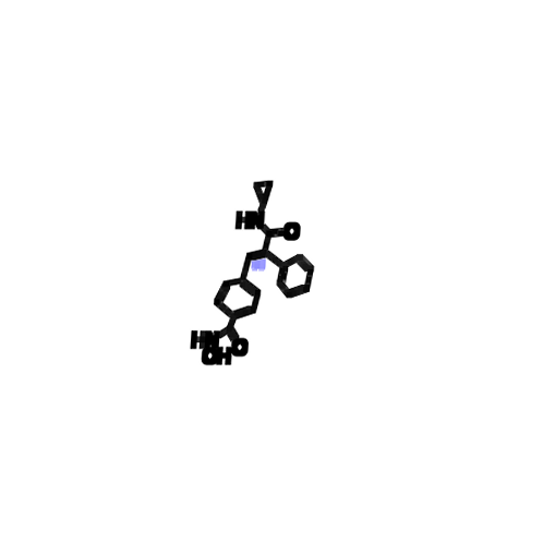 O=C(NC1CC1)/C(=C/c1ccc(C(=O)NO)cc1)c1ccccc1